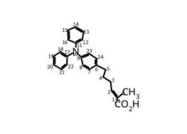 CC(=CCCCc1ccc(N(c2ccccc2)c2ccccc2)cc1)C(=O)O